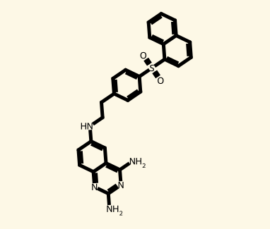 Nc1nc(N)c2cc(NCCc3ccc(S(=O)(=O)c4cccc5ccccc45)cc3)ccc2n1